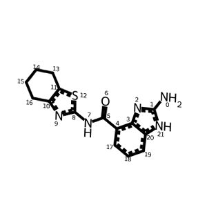 Nc1nc2c(C(=O)Nc3nc4c(s3)CCCC4)cccc2[nH]1